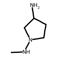 CNN1CCC(N)C1